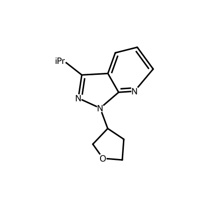 CC(C)c1nn(C2CCOC2)c2ncccc12